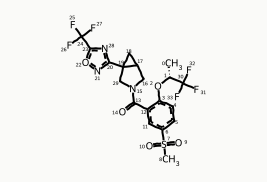 C[C@@H](Oc1ccc(S(C)(=O)=O)cc1C(=O)N1CC2CC2(c2noc(C(F)(F)F)n2)C1)C(F)(F)F